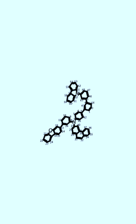 c1cc(-c2ccc(N(c3cccc(-c4ccc5c(c4)oc4ccccc45)c3)c3ccc4ccc5ccccc5c4c3)cc2)cc(-c2cccc(-n3c4ccccc4c4ccccc43)c2)c1